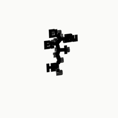 CCC(C)C(CC)C(CC)C(I)CCPC